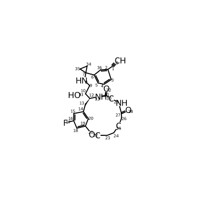 C#Cc1cccc(C2(NC[C@@H](O)[C@@H]3Cc4cc(F)cc(c4)OCCCCCC(=O)NCC(=O)N3)CC2)c1